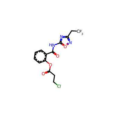 O=C(CCCl)Oc1ccccc1C(=O)Nc1nc(CC(F)(F)F)no1